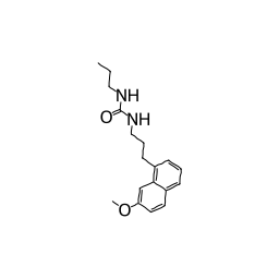 CCCNC(=O)NCCCc1cccc2ccc(OC)cc12